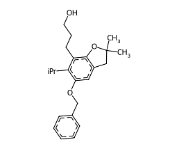 CC(C)c1c(OCc2ccccc2)cc2c(c1CCCO)OC(C)(C)C2